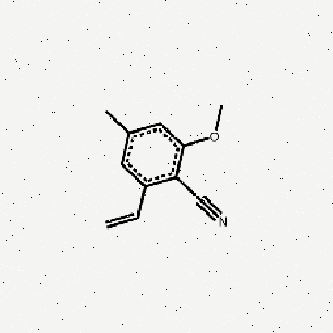 C=Cc1cc(C)cc(OC)c1C#N